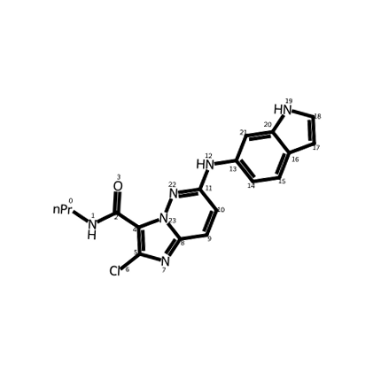 CCCNC(=O)c1c(Cl)nc2ccc(Nc3ccc4cc[nH]c4c3)nn12